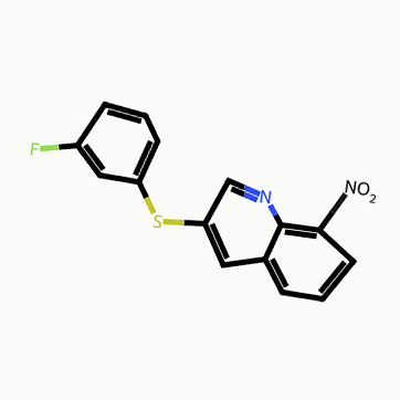 O=[N+]([O-])c1cccc2cc(Sc3cccc(F)c3)cnc12